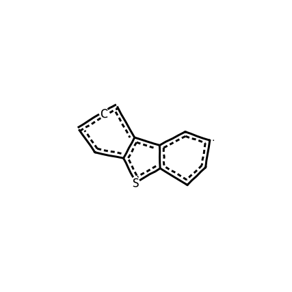 [c]1ccc2sc3ccccc3c2c1